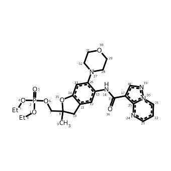 CCOP(=O)(OCC)OCC1(C)Cc2cc(NC(=O)c3cnn4cccnc34)c(N3CCOCC3)cc2O1